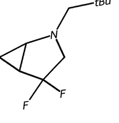 CC(C)(C)CN1CC(F)(F)C2CC21